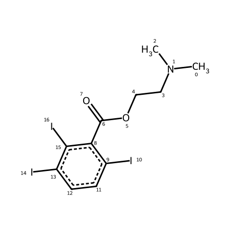 CN(C)CCOC(=O)c1c(I)ccc(I)c1I